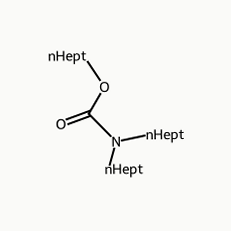 CCCCCCCOC(=O)N(CCCCCCC)CCCCCCC